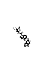 CNCc1cc(Oc2ccc3c(ccn3C(=O)Nc3cc(C(F)(F)F)n(C)n3)c2C)ncn1